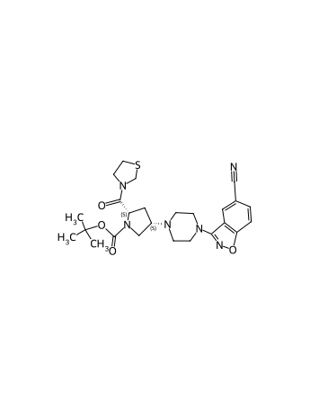 CC(C)(C)OC(=O)N1C[C@@H](N2CCN(c3noc4ccc(C#N)cc34)CC2)C[C@H]1C(=O)N1CCSC1